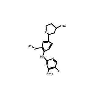 CNc1nc(Nc2ccc(C3CN(C=O)CCO3)cc2OC(C)C)ncc1Cl